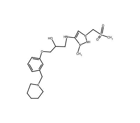 CN1NN(CS(C)(=O)=O)C=C1NCC(O)COc1cccc(CN2CCCCC2)c1